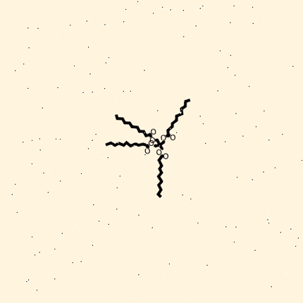 CCCCCCCCCCC(=O)OCC(COC(=O)CCCCCCCCCC)(COC(=O)CCCCCCCCCC)COC(=O)CCCCCCCCCC